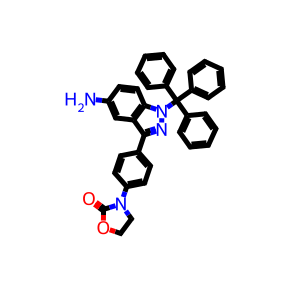 Nc1ccc2c(c1)c(-c1ccc(N3CCOC3=O)cc1)nn2C(c1ccccc1)(c1ccccc1)c1ccccc1